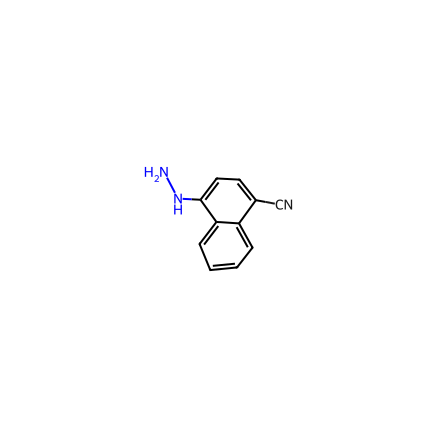 N#Cc1ccc(NN)c2ccccc12